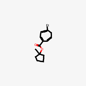 CCC1=CC=C(C(=O)OC2(C)CCCC2)C=CC1